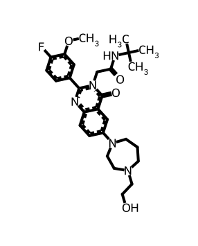 COc1cc(-c2nc3ccc(N4CCCN(CCO)CC4)cc3c(=O)n2CC(=O)NC(C)(C)C)ccc1F